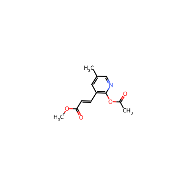 COC(=O)C=Cc1cc(C)cnc1OC(C)=O